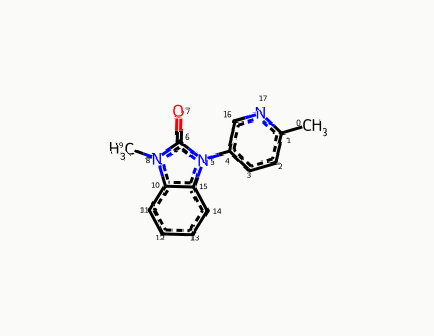 Cc1ccc(-n2c(=O)n(C)c3ccccc32)cn1